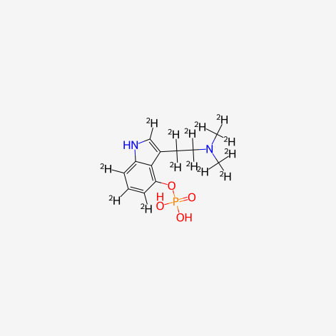 [2H]c1[nH]c2c([2H])c([2H])c([2H])c(OP(=O)(O)O)c2c1C([2H])([2H])C([2H])([2H])N(C([2H])([2H])[2H])C([2H])([2H])[2H]